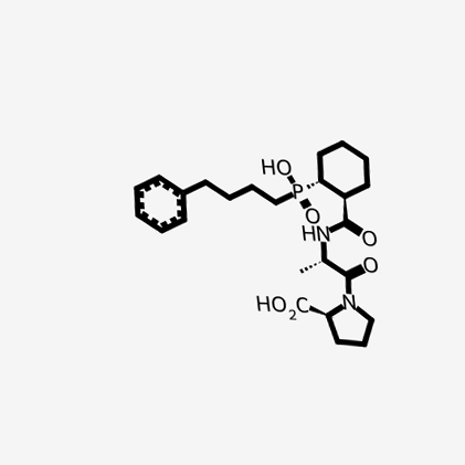 C[C@H](NC(=O)[C@@H]1CCCC[C@H]1P(=O)(O)CCCCc1ccccc1)C(=O)N1CCC[C@H]1C(=O)O